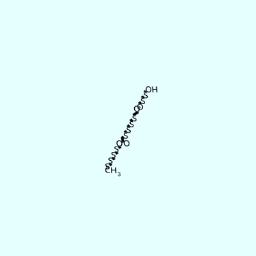 CSCSCSCSCOC(=O)CSCSCSCSCCOOCSCSCO